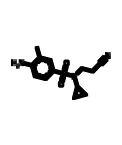 Cc1cc(S(=O)(=O)N(CCC#N)C2CC2)ccc1N